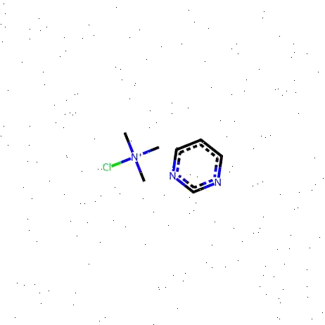 C[N+](C)(C)Cl.c1cncnc1